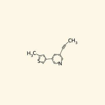 CC#Cc1cncc(-c2csc(C)c2)c1